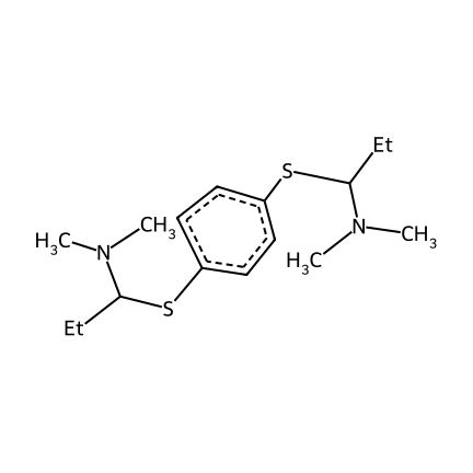 CCC(Sc1ccc(SC(CC)N(C)C)cc1)N(C)C